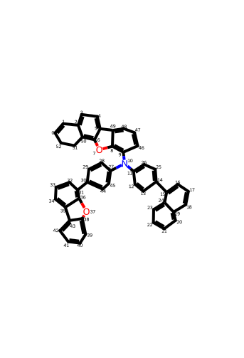 C1=Cc2ccc3c(oc4c(N(c5ccc(-c6cccc7ccccc67)cc5)c5ccc(-c6cccc7c6oc6ccccc67)cc5)cccc43)c2CC1